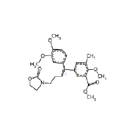 COC(=O)c1cc(/C(=C/CCN2CCOC2=O)c2ccc(OC)c(OC)c2)cc(C)c1OC